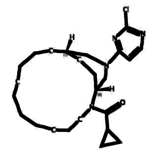 O=C(C1CC1)N1CCCCCCCCCC[C@H]2CC[C@@H]1CN(c1ccnc(Cl)n1)C2